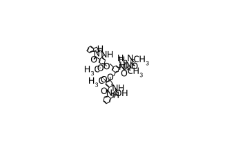 COc1cc2c(cc1OCc1cc(COc3cc4c(cc3OC)C(=O)N3c5ccccc5C[C@H]3C(O)N4)cc(NC(=O)[C@H](C)NC(=O)[C@H](C)N)c1)NC[C@@H]1Cc3ccccc3N1C2=O